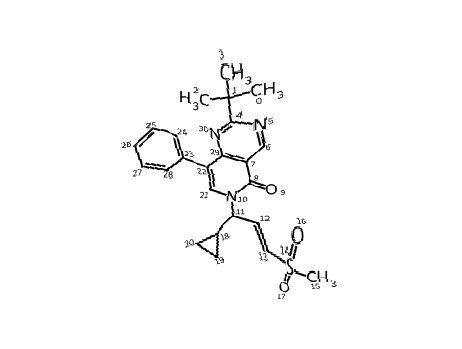 CC(C)(C)c1ncc2c(=O)n(C(/C=C/S(C)(=O)=O)C3CC3)cc(-c3ccccc3)c2n1